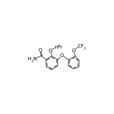 CCCOc1c(Oc2ccccc2OC(F)(F)F)cccc1C(N)=O